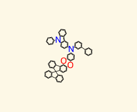 c1ccc(-c2cccc(N(c3ccc4c(c3)Oc3c(ccc5c3-c3ccccc3C53c5ccccc5-c5ccccc53)O4)c3ccc4c(c3)c3ccccc3n4-c3ccccc3)c2)cc1